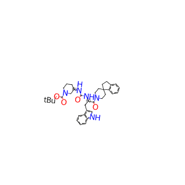 CC(C)(C)OC(=O)N1CCC[C@@H](NC(=O)N[C@H](Cc2c[nH]c3ccccc23)C(=O)N2CCC3(CCc4ccccc43)CC2)C1